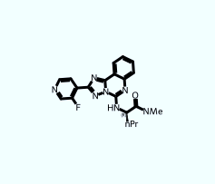 CCC[C@@H](Nc1nc2ccccc2c2nc(-c3ccncc3F)nn12)C(=O)NC